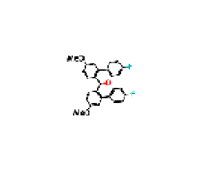 COc1ccc(C(=O)c2ccc(OC)cc2-c2ccc(F)cc2)c(-c2ccc(F)cc2)c1